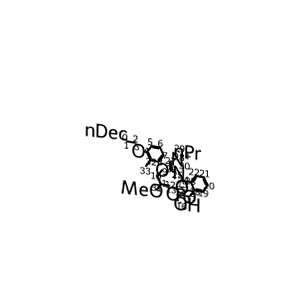 CCCCCCCCCCCCOc1cccc(OCC(COP(=O)(O)Oc2ccccc2Cn2cc[n+](CCC)c2)OC)c1C